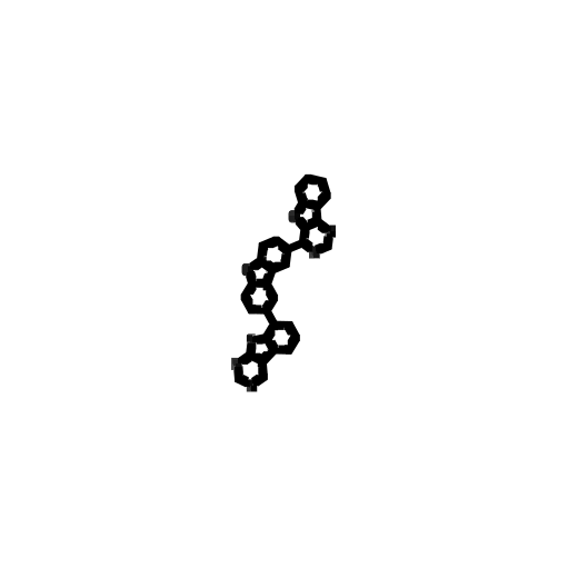 c1ccc2c(c1)oc1c(-c3ccc4oc5ccc(-c6cccc7c6sc6ncncc67)cc5c4c3)ncnc12